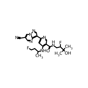 CC(CCF)Nc1cc(-c2cnn3cc(C#N)cnc23)ncc1C(=O)NCC(F)C(C)(C)O